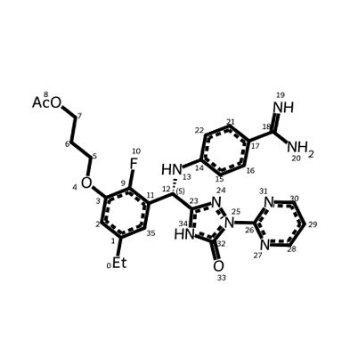 CCc1cc(OCCCOC(C)=O)c(F)c([C@H](Nc2ccc(C(=N)N)cc2)c2nn(-c3ncccn3)c(=O)[nH]2)c1